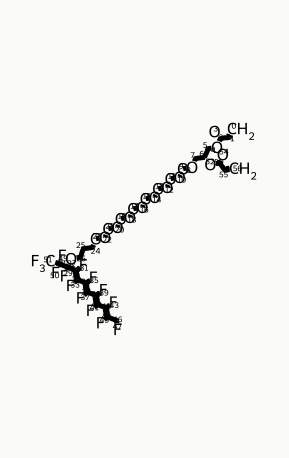 C=CC(=O)OCC(COOOOOOOOOOOOOOOOCCCOC(F)(/C(F)=C(F)/C(F)=C(F)/C(F)=C(F)/C(F)=C(\F)CF)C(F)(F)C(F)(F)F)OC(=O)C=C